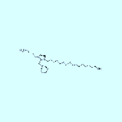 CCCCCCCCCCCCCCCCCn1cc[n+](CCCCC)c1Cc1ccccc1